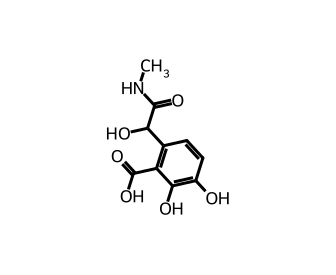 CNC(=O)C(O)c1ccc(O)c(O)c1C(=O)O